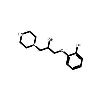 Oc1ccccc1OCC(O)CN1CCNCC1